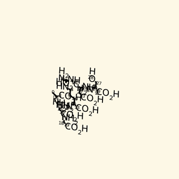 C[C@H](N)C(=O)O.N=C(N)NCCC[C@H](N)C(=O)O.NCC(=O)O.NCC(=O)O.N[C@@H](CC(=O)O)C(=O)O.N[C@@H](CO)C(=O)O